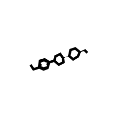 CCc1ccc(C2CCC([C@H]3CC[C@H](CC)CC3)CC2)cc1